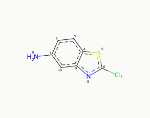 Nc1ccc2sc(Cl)nc2c1